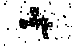 COCOc1cc(Cl)c(C2CC2C)c(-c2ncc3c(N4CCCC(C)(O)C4)nc(OCC45CCCN4CCC5)nc3c2F)c1